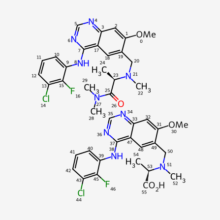 COc1cc2ncnc(Nc3cccc(Cl)c3F)c2cc1CN(C)[C@H](C)C(=O)N(C)C.COc1cc2ncnc(Nc3cccc(Cl)c3F)c2cc1CN(C)[C@H](C)C(=O)O